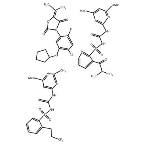 CC(C)=C1OC(=O)N(c2cc(OC3CCCC3)c(Cl)cc2F)C1=O.COc1cc(OC)nc(NC(=O)NS(=O)(=O)c2ncccc2C(=O)N(C)C)n1.COc1nc(C)nc(NC(=O)NS(=O)(=O)c2ccccc2CCC(F)(F)F)n1